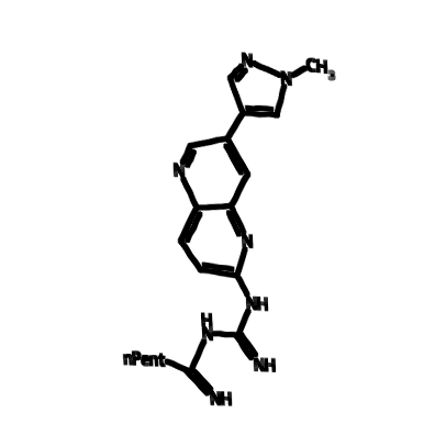 CCCCCC(=N)NC(=N)Nc1ccc2ncc(-c3cnn(C)c3)cc2n1